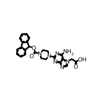 Nc1nc(N2CCN(C(=O)OC3c4ccccc4-c4ccccc43)CC2)nc2ncn(CC(=O)O)c12